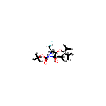 CC(C)[Si](O[C@H]1C(=O)N(C(=O)OC(C)(C)C)[C@H]1CF)(C(C)C)C(C)C